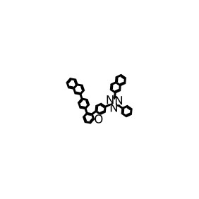 c1ccc(-c2nc(-c3ccc4ccccc4c3)nc(-c3ccc4c(c3)oc3cccc(-c5ccc(-c6ccc7ccccc7c6)cc5)c34)n2)cc1